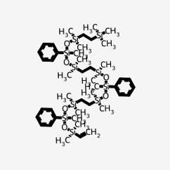 C=C[Si](C)(C)O[Si](C)(O[Si](C)(C)CC[Si](C)(C)O[Si](C)(O[Si](C)(C)CC[Si](C)(C)O[Si](C)(O[Si](C)(C)CC[Si](C)(C)C)c1ccccc1)c1ccccc1)c1ccccc1